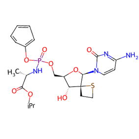 CC(C)OC(=O)[C@H](C)NP(=O)(OC[C@H]1O[C@@H](n2ccc(N)nc2=O)[C@@]2(CCS2)[C@@H]1O)Oc1ccccc1